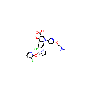 CN(C)CCOc1ccc(-n2cc(C(=O)O)c(=O)c3cc(Cl)c(N4CCC[C@@H]4COc4ncccc4Cl)cc32)cn1